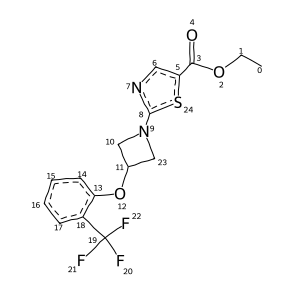 CCOC(=O)c1cnc(N2CC(Oc3ccccc3C(F)(F)F)C2)s1